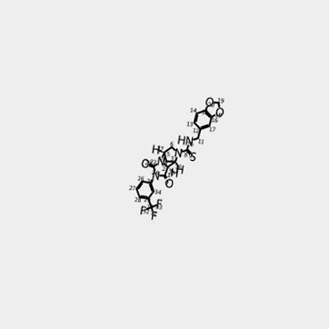 O=C1[C@@H]2[C@@H]3C[C@@H](CN3C(=S)NCc3ccc4c(c3)OCO4)N2C(=O)N1c1cccc(C(F)(F)F)c1